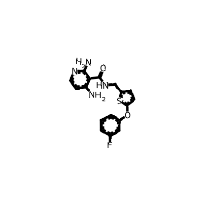 Nc1ccnc(N)c1C(=O)NCc1ccc(Oc2cccc(F)c2)s1